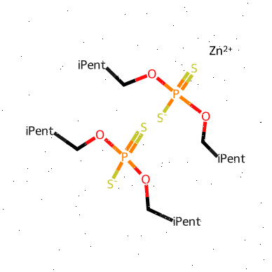 CCCC(C)COP(=S)([S-])OCC(C)CCC.CCCC(C)COP(=S)([S-])OCC(C)CCC.[Zn+2]